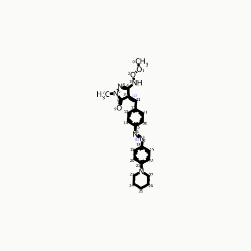 COONC1=NN(C)C(=O)/C1=C\c1ccc(/N=N/c2ccc(N3CCCCC3)cc2)cc1